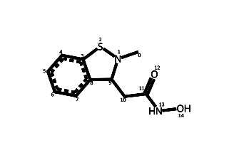 CN1Sc2ccccc2C1CC(=O)NO